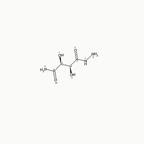 NNC(=O)[C@@H](O)[C@H](O)C(N)=O